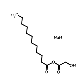 CCCCCCCCCCCC(=O)OC(=O)CO.[NaH]